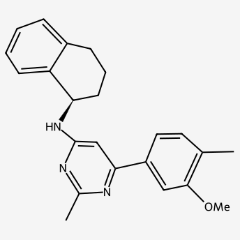 COc1cc(-c2cc(N[C@@H]3CCCc4ccccc43)nc(C)n2)ccc1C